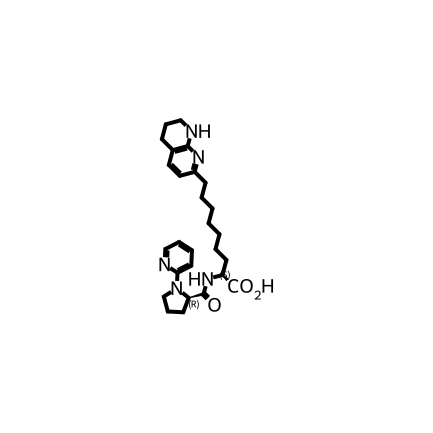 O=C(O)[C@H](CCCCCCCc1ccc2c(n1)NCCC2)NC(=O)[C@H]1CCCN1c1ccccn1